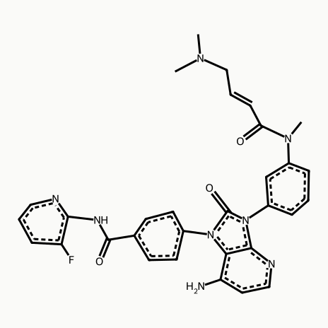 CN(C)C/C=C/C(=O)N(C)c1cccc(-n2c(=O)n(-c3ccc(C(=O)Nc4ncccc4F)cc3)c3c(N)ccnc32)c1